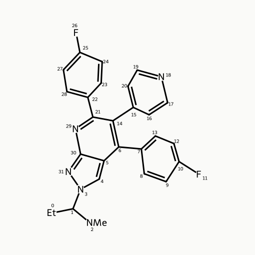 CCC(NC)n1cc2c(-c3ccc(F)cc3)c(-c3ccncc3)c(-c3ccc(F)cc3)nc2n1